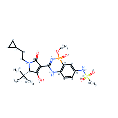 COP1(=O)N=C(C2=C(O)[C@H](C(C)(C)C)N(CCC3CC3)C2=O)Nc2ccc(NS(C)(=O)=O)cc21